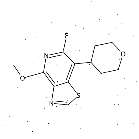 COc1nc(F)c(C2CCOCC2)c2scnc12